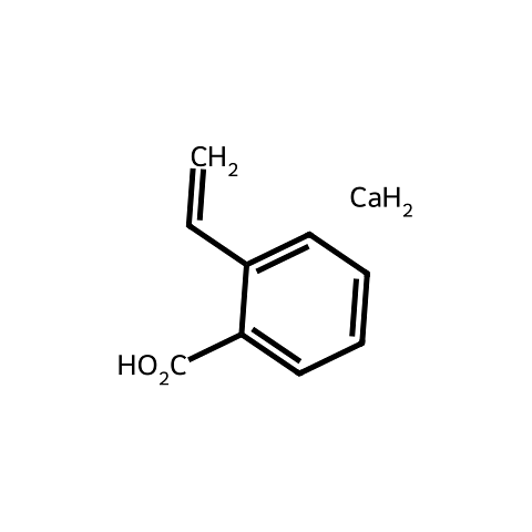 C=Cc1ccccc1C(=O)O.[CaH2]